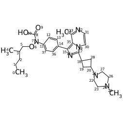 CCCC(C)CON(C(=O)O)c1ccc(-c2nc(C3CC(N4CCN(C)CC4)C3)n3ccnc(C)c23)cc1